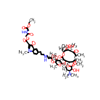 CCOC(=O)CNC(=O)COC(=O)c1cn(CC)c2ccc(CCCNCCC(=O)O[C@@H]3[C@H](C)O[C@H](O[C@@H]4[C@@H](C)[C@H](O[C@@H]5O[C@H](C)C[C@H](N(C)C)[C@@H]5O)[C@](C)(OC)C[C@H](C)C(=O)[C@H](C)[C@@H](O)[C@](C)(O)[C@H](CC)OC(=O)[C@@H]4C)C[C@]3(C)OC)cc2c1=O